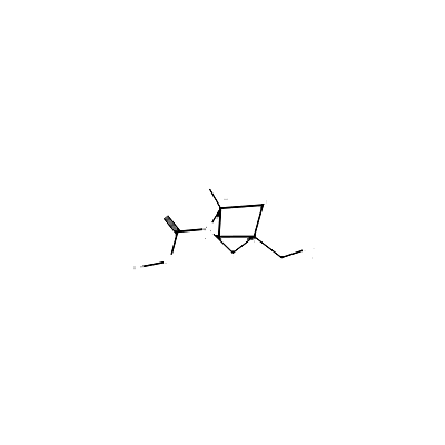 CC(C)(C)OC(=O)N1CC2(CO)CC1(C(=O)O)C2